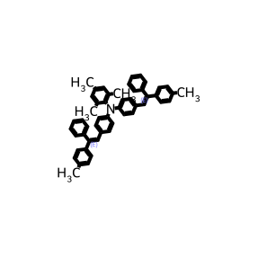 Cc1ccc(/C(=C/c2ccc(N(c3ccc(/C=C(\c4ccccc4)c4ccc(C)cc4)cc3)c3c(C)cc(C)cc3C)cc2)c2ccccc2)cc1